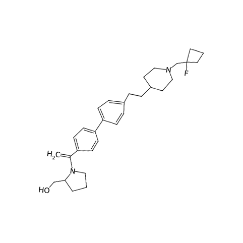 C=C(c1ccc(-c2ccc(CCC3CCN(CC4(F)CCC4)CC3)cc2)cc1)N1CCCC1CO